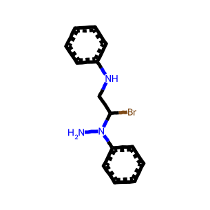 NN(c1ccccc1)C(Br)CNc1ccccc1